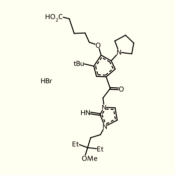 Br.CCC(CC)(CCn1ccn(CC(=O)c2cc(N3CCCC3)c(OCCCCC(=O)O)c(C(C)(C)C)c2)c1=N)OC